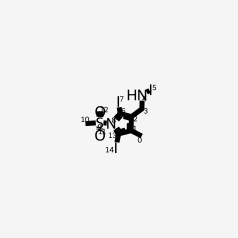 Cc1c(CNI)c(I)n(S(C)(=O)=O)c1I